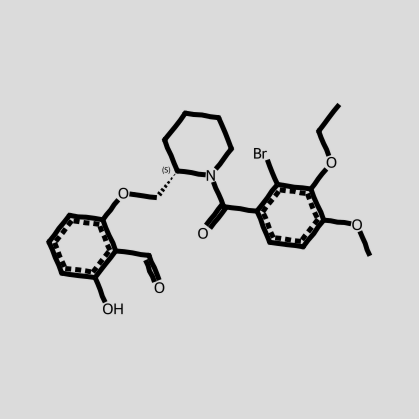 CCOc1c(OC)ccc(C(=O)N2CCCC[C@H]2COc2cccc(O)c2C=O)c1Br